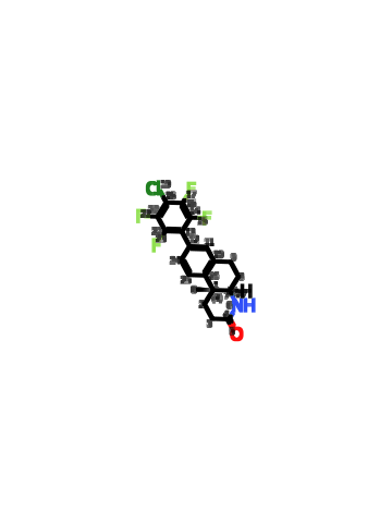 C[C@]12CCC(=O)N[C@@H]1CCc1cc(-c3c(F)c(F)c(Cl)c(F)c3F)ccc12